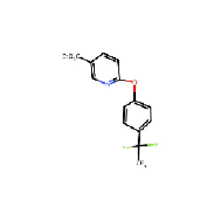 CCOC(=O)c1ccc(Oc2ccc(C(F)(F)C(F)(F)F)cc2)nc1